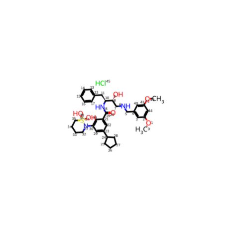 COc1cc(CNC[C@@H](O)[C@H](Cc2ccccc2)NC(=O)c2cc(C3CCCC3)cc(N3CCCCS3(O)O)c2)cc(OC)c1.Cl